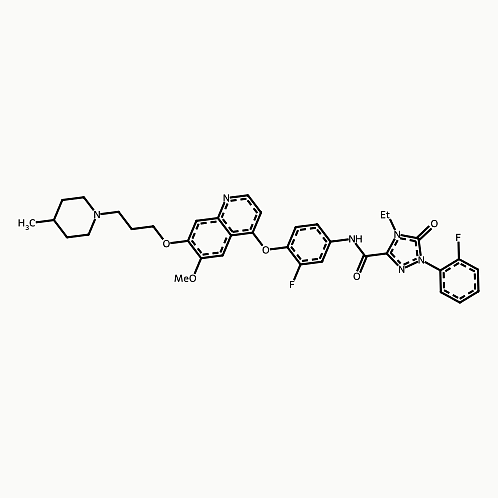 CCn1c(C(=O)Nc2ccc(Oc3ccnc4cc(OCCCN5CCC(C)CC5)c(OC)cc34)c(F)c2)nn(-c2ccccc2F)c1=O